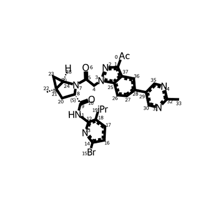 CC(=O)c1nn(CC(=O)N2[C@H](C(=O)Nc3nc(Br)ccc3C(C)C)C[C@@]3(C)C[C@@H]23)c2ccc(-c3cnc(C)nc3)cc12